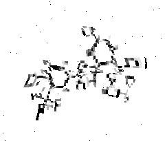 COP(=O)(O)c1ccc(Cl)cc1NS(=O)(=O)c1ccc(Cl)c(C(F)(F)F)c1